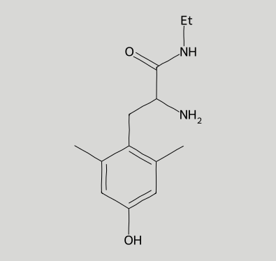 CCNC(=O)C(N)Cc1c(C)cc(O)cc1C